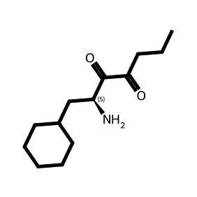 CCCC(=O)C(=O)[C@@H](N)CC1CCCCC1